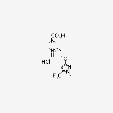 Cl.Cn1nc(OCC[C@@H]2CN(C(=O)O)CCN2)cc1C(F)(F)F